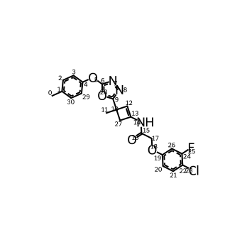 Cc1ccc(Oc2nnc(C3(C)C=C(NC(=O)COc4ccc(Cl)c(F)c4)C3)o2)cc1